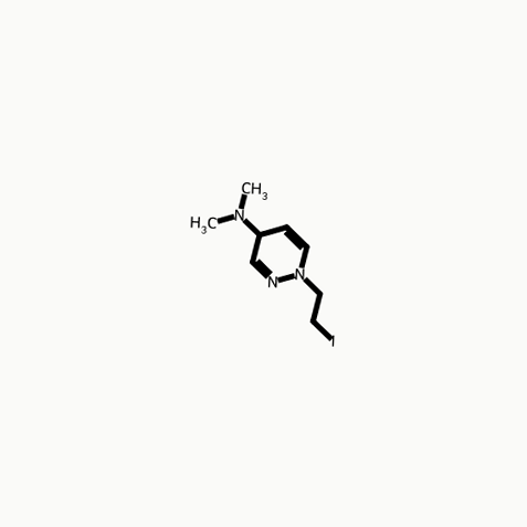 CN(C)C1C=CN(CCI)N=C1